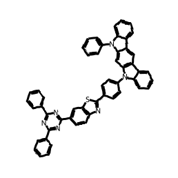 c1ccc(-c2nc(-c3ccccc3)nc(-c3ccc4nc(-c5ccc(-n6c7ccccc7c7cc8c9ccccc9n(-c9ccccc9)c8cc76)cc5)sc4c3)n2)cc1